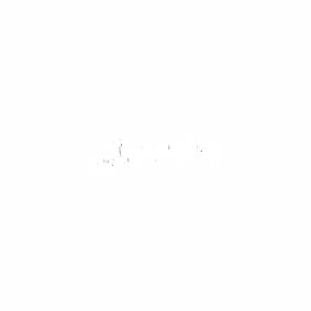 NCCOCCOC(N)=O